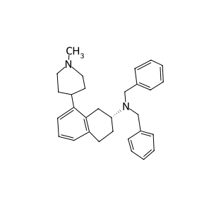 CN1CCC(c2cccc3c2C[C@H](N(Cc2ccccc2)Cc2ccccc2)CC3)CC1